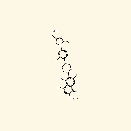 CCOC(=O)c1cn(CC)c2c(F)c(N3CCN(c4ccc(N5CC(CN)OC5=O)cc4F)CC3)c(F)cc2c1=O